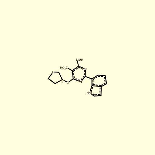 CNc1nc(-c2cccc3cc[nH]c23)nc(O[C@H]2CCOC2)c1C(=O)O